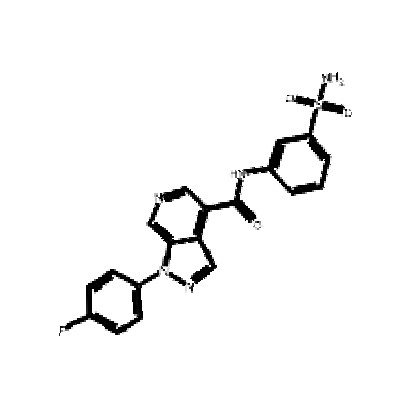 NS(=O)(=O)c1cccc(NC(=O)c2cncc3c2cnn3-c2ccc(F)cc2)c1